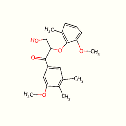 COc1cc(C(=O)C(CO)Oc2c(C)cccc2OC)cc(C)c1C